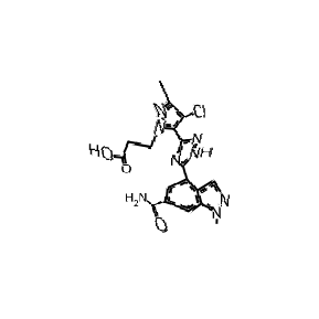 Cc1nn(CCC(=O)O)c(-c2n[nH]c(-c3cc(C(N)=O)cc4c3cnn4C)n2)c1Cl